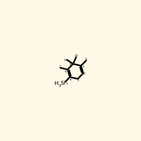 CC1=CCC([SiH3])=C(C)C1(C)C